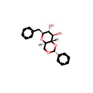 O[C@@H]1[C@@H](O)[C@H](Cc2ccccc2)O[C@@H]2CO[C@@H](c3ccccc3)O[C@@H]12